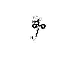 CCCCCCn1c(-c2ccccc2)c(C=C(C#N)C(=O)O)c2ccccc21